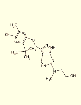 Cc1cc(OCc2n[nH]c3c2CNC(N(C)CCO)=N3)c(C(C)(C)C)cc1Cl